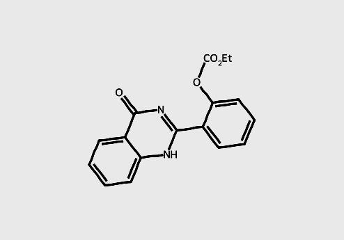 CCOC(=O)Oc1ccccc1-c1nc(=O)c2ccccc2[nH]1